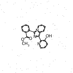 COC(=O)c1ccccc1-c1nc(-c2ncccc2O)c2ccccn12